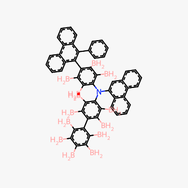 Bc1c(B)c(B)c(-c2c(B)c(B)c(N(c3c(B)c(B)c(-c4c(-c5ccccc5)c5ccccc5c5ccccc45)c(B)c3B)c3cc4ccccc4c4ccccc34)c(B)c2B)c(B)c1B